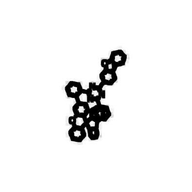 c1ccc(-c2nc(-c3ccc4c(c3)oc3ccccc34)nc(-c3ccccc3-c3ccc4c(c3)Oc3ccccc3C43c4ccccc4-c4ccccc43)n2)cc1